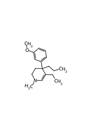 CCCC1(c2cccc(OC)c2)CCN(C)C=C1CC